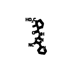 Cc1c(C(=O)O)cccc1C(=O)Nc1nc(-c2ccccn2)c(C#N)s1